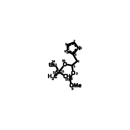 COCOC(Cc1nccs1)O[Si](C)(C)C(C)(C)C